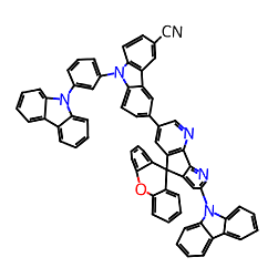 N#Cc1ccc2c(c1)c1cc(-c3cnc4c(c3)C3(c5ccccc5Oc5ccccc53)c3cc(-n5c6ccccc6c6ccccc65)cnc3-4)ccc1n2-c1cccc(-n2c3ccccc3c3ccccc32)c1